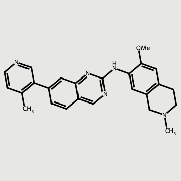 COc1cc2c(cc1Nc1ncc3ccc(-c4cnccc4C)cc3n1)CN(C)CC2